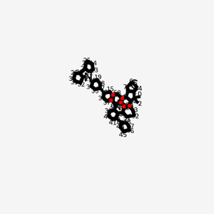 CC1(C)c2ccccc2-c2cc(N(c3ccc(-c4ccc(-n5c6ccccc6c6ccccc65)cc4)cc3)c3cccc(-c4ccccc4)c3-c3ccccc3-c3ccccc3)ccc21